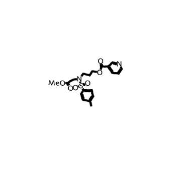 COC(=O)CN(CCCOC(=O)c1cccnc1)S(=O)(=O)c1ccc(C)cc1